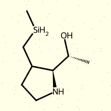 C[SiH2]CC1CCN[C@@H]1[C@@H](C)O